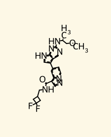 COC[C@H](C)Nc1ncc2c(-c3ccn4ncc(C(=O)NCC5CC(F)(F)C5)c4c3)c[nH]c2n1